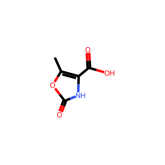 Cc1oc(=O)[nH]c1C(=O)O